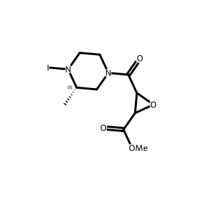 COC(=O)C1OC1C(=O)N1CCN(I)[C@@H](C)C1